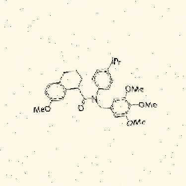 COc1ccc2c(c1)C(C(=O)N(Cc1cc(OC)c(OC)c(OC)c1)c1ccc(C(C)C)cc1)CCC2